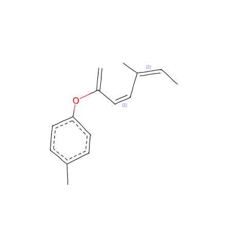 C=C(/C=C\C(C)=C/C)Oc1ccc(C)cc1